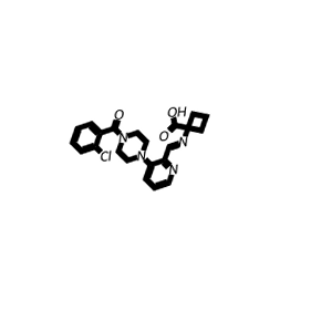 O=C(c1ccccc1Cl)N1CCN(c2cccnc2C=NC2(C(=O)O)CCC2)CC1